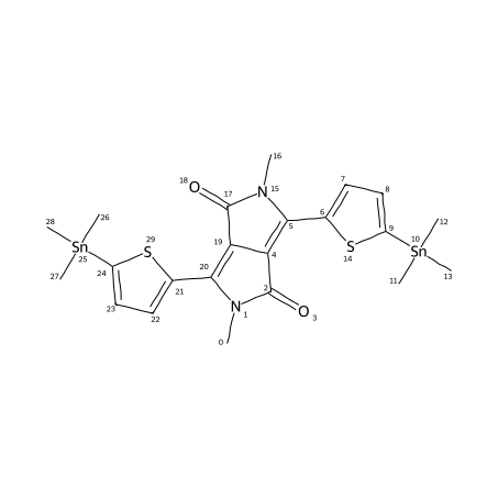 CN1C(=O)C2=C(c3cc[c]([Sn]([CH3])([CH3])[CH3])s3)N(C)C(=O)C2=C1c1cc[c]([Sn]([CH3])([CH3])[CH3])s1